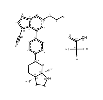 CCOc1cc(-c2ccc(N3CC[C@@H]4CCN[C@@H]4C3)nc2)c2c(C#N)cnn2c1.O=C(O)C(F)(F)F